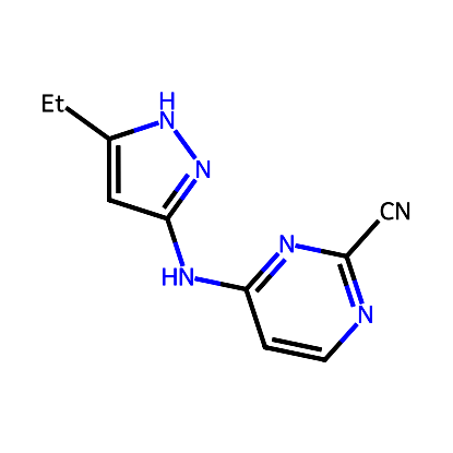 CCc1cc(Nc2ccnc(C#N)n2)n[nH]1